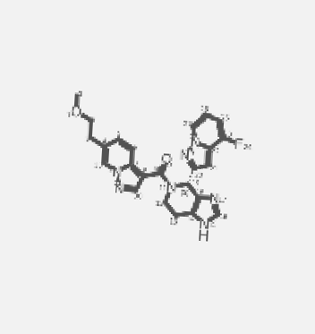 COCCc1ccc2c(C(=O)N3CCc4[nH]cnc4[C@H]3c3cc4c(F)cccn4n3)cnn2c1